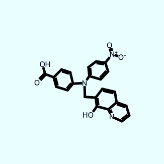 O=C(O)c1ccc(N(Cc2ccc3cccnc3c2O)c2ccc([N+](=O)[O-])cc2)cc1